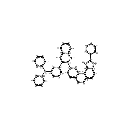 c1ccc(-c2nc3ccc4ccc5ccc(-c6nc7ccccc7nc6-c6cccc(N(c7ccccc7)c7ccccc7)c6)cc5c4c3o2)cc1